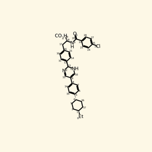 CC[C@H]1CC[C@H](c2ccc(C3=CNC(c4ccc(C[C@H](NC(=O)c5ccc(Cl)cc5)C(=O)O)cc4)N=C3)cc2)CC1